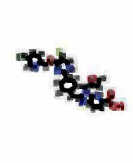 O=C(O)c1ccc2nc(CC3CC=C(c4ncc(F)c(OCc5ccc(Cl)cn5)n4)CC3)n(C[C@@H]3CCO3)c2n1